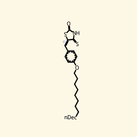 CCCCCCCCCCCCCCCCCCOc1ccc(/C=C2/SC(=O)NC2=S)cc1